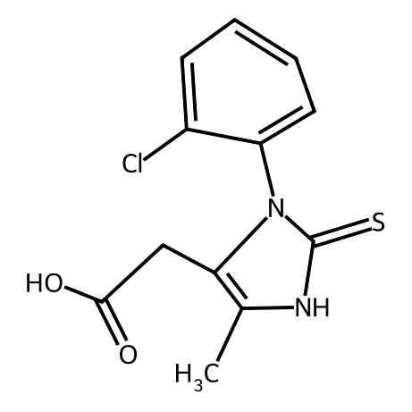 Cc1[nH]c(=S)n(-c2ccccc2Cl)c1CC(=O)O